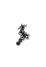 Cc1cc(C)c(CN2CCc3sc(N(c4ccccc4C)[C@H]4CC[C@H](N5CC(n6cccn6)C5)CC4)c(C)c3C2=O)c(=O)[nH]1